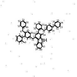 Cc1ccccc1-c1cc(Cc2cc(C3=C(Cc4ccc(-c5ccccc5)cc4)C=CCC3)c(C)c3c2-c2ccccc2B3)ccc1Cc1ccccc1